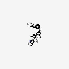 CN/C=C\C(=N)N1C(=O)[C@@H](N2CC(Oc3cccc(CC(C)(C)O)c3)=CC2=O)CC1C